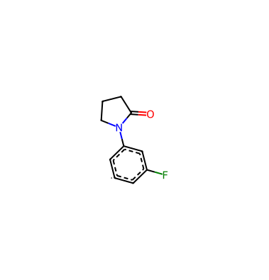 O=C1CCCN1c1c[c]cc(F)c1